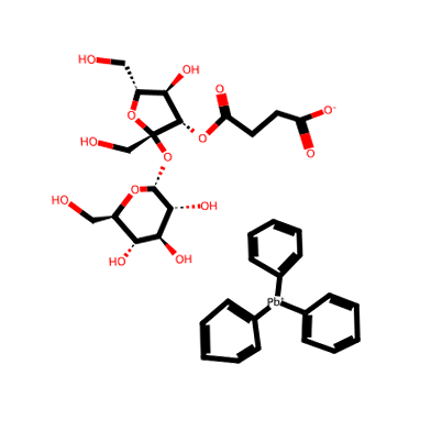 O=C([O-])CCC(=O)O[C@H]1[C@H](O)[C@@H](CO)O[C@@]1(CO)O[C@H]1O[C@H](CO)[C@@H](O)[C@H](O)[C@H]1O.c1cc[c]([Pb+]([c]2ccccc2)[c]2ccccc2)cc1